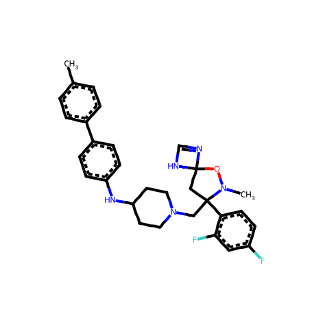 Cc1ccc(-c2ccc(NC3CCN(CC4(c5ccc(F)cc5F)CC5(N=CN5)ON4C)CC3)cc2)cc1